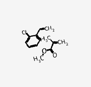 C=C(C)C(=O)OC.C=Cc1ccccc1Cl